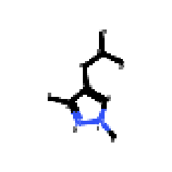 Cc1nn(C)cc1CC(C)C